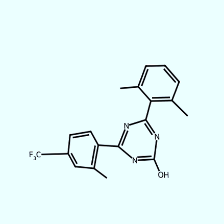 Cc1cc(C(F)(F)F)ccc1-c1nc(O)nc(-c2c(C)cccc2C)n1